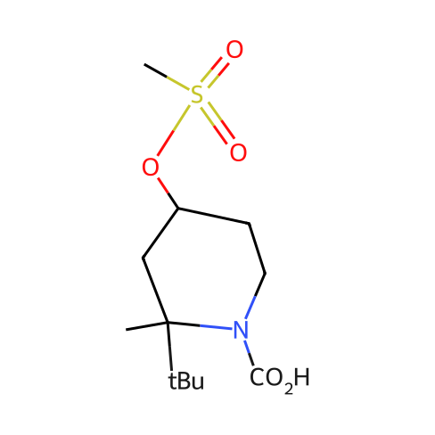 CC(C)(C)C1(C)CC(OS(C)(=O)=O)CCN1C(=O)O